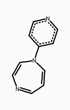 C1=CN(c2ccncc2)C=CN=C1